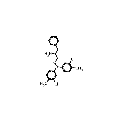 Cc1ccc(B(OCC(N)Cc2ccccc2)c2ccc(C)c(Cl)c2)cc1Cl